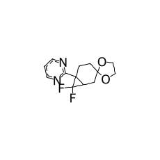 FC1(F)C2CC3(CCC21c1ncccn1)OCCO3